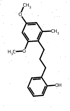 COc1cc(C)c(CCCc2ccccc2O)c(OC)c1